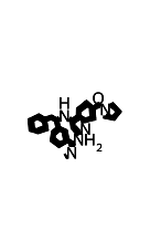 C/N=C(/N)c1cccc(C(Cc2ccccc2)Nc2ccnc3cc(C(=O)N4CCCC4)ccc23)c1